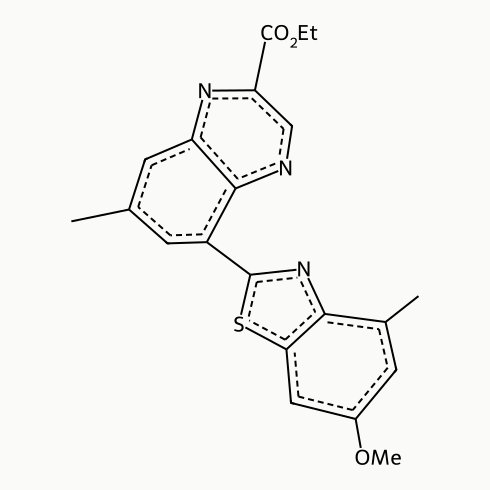 CCOC(=O)c1cnc2c(-c3nc4c(C)cc(OC)cc4s3)cc(C)cc2n1